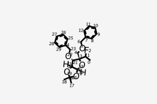 CC(F)[C@]1(COCc2ccccc2)O[C@@H]2OC(C)(C)O[C@@H]2[C@@H]1OCc1ccccc1